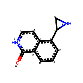 O=c1[nH]ccc2c(C3CN3)cccc12